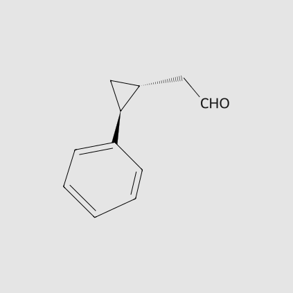 O=CC[C@H]1C[C@@H]1c1ccccc1